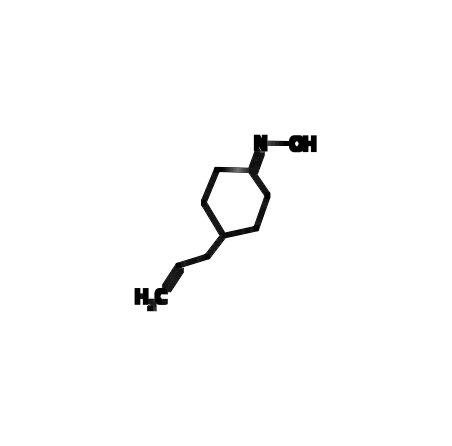 C=CCC1CCC(=NO)CC1